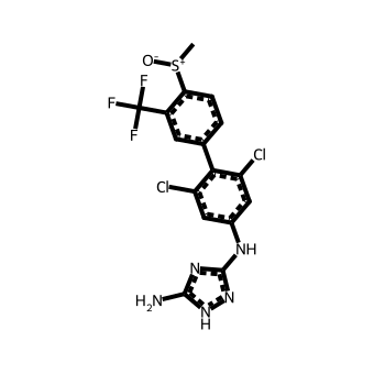 C[S+]([O-])c1ccc(-c2c(Cl)cc(Nc3n[nH]c(N)n3)cc2Cl)cc1C(F)(F)F